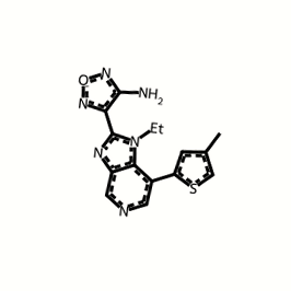 CCn1c(-c2nonc2N)nc2cncc(-c3cc(C)cs3)c21